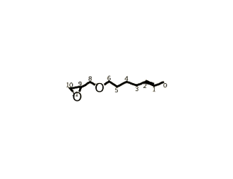 CC=CCCCCOCC1CO1